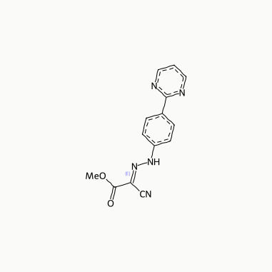 COC(=O)/C(C#N)=N/Nc1ccc(-c2ncccn2)cc1